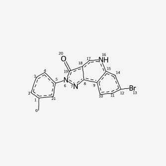 Cc1cccc(-n2nc3c4ccc(Br)cc4[nH]cc-3c2=O)c1